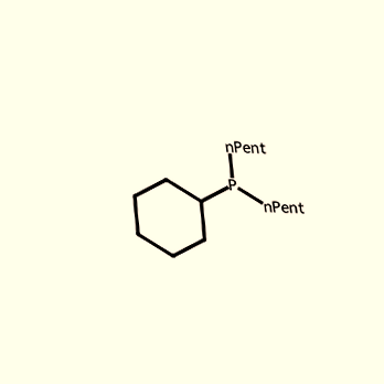 CCCCCP(CCCCC)C1CCCCC1